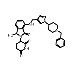 O=C1CCC(N2C(=O)c3c(NCc4cnn(C5CCN(Cc6ccccc6)CC5)c4)cccc3C2O)C(=O)N1